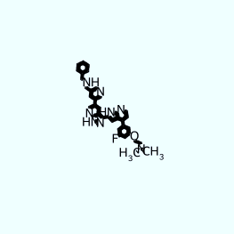 CN(C)CCOc1cc(F)cc(-c2ccnc3[nH]c(-c4n[nH]c5ncc(-c6cncc(CNCc7ccccc7)c6)cc45)cc23)c1